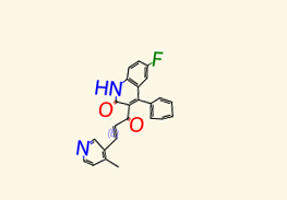 Cc1ccncc1/C=C/C(=O)c1c(-c2ccccc2)c2cc(F)ccc2[nH]c1=O